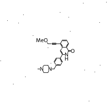 COCC#Cc1cccc2c(=O)[nH]c(-c3ccc(CN4CCN(C)CC4)cc3)cc12